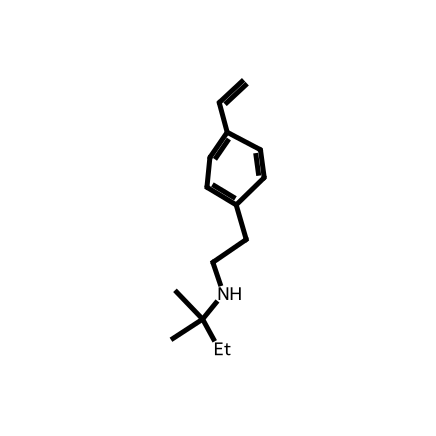 C=Cc1ccc(CCNC(C)(C)CC)cc1